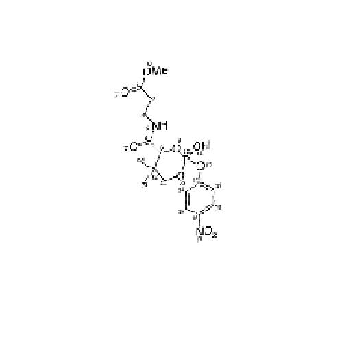 COC(=O)CCNC(=O)[C@@H]1O[P@](O)(Oc2ccc([N+](=O)[O-])cc2)OCC1(C)C